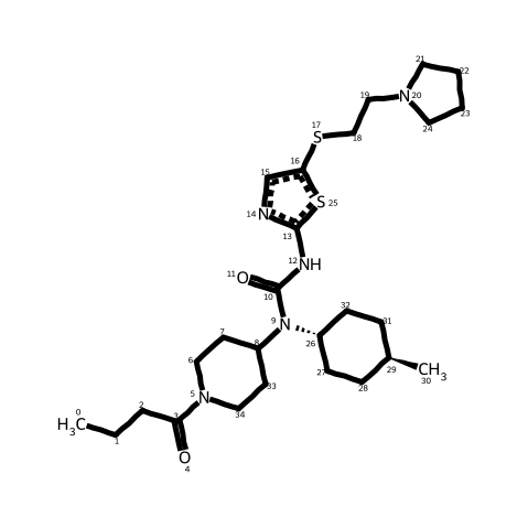 CCCC(=O)N1CCC(N(C(=O)Nc2ncc(SCCN3CCCC3)s2)[C@H]2CC[C@H](C)CC2)CC1